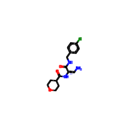 N/C=C(/NC(=O)C1CCOCC1)C(=O)NCc1ccc(Cl)cc1